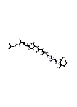 CC(C)=CCCC(C)/C=C/c1ccc(OC(=O)/C=C(C)/C=C/C=C(C)/C=C/C2=C(C)CCCC2(C)C)cc1